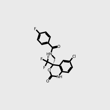 O=C1Nc2ccc(Cl)cc2[C@](CNC(=O)c2ccc(F)cc2)(C(F)(F)F)O1